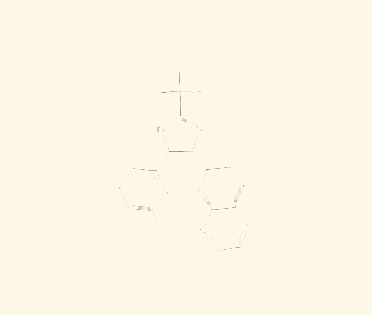 CC1=CCCC(C2NC(C(C)(C)C)=NC2C2C=c3nccnc3=CC2)=N1